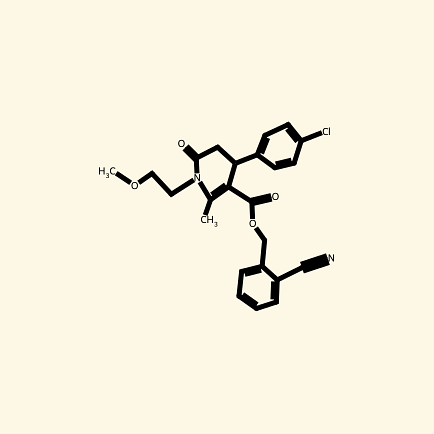 COCCN1C(=O)CC(c2ccc(Cl)cc2)C(C(=O)OCc2ccccc2C#N)=C1C